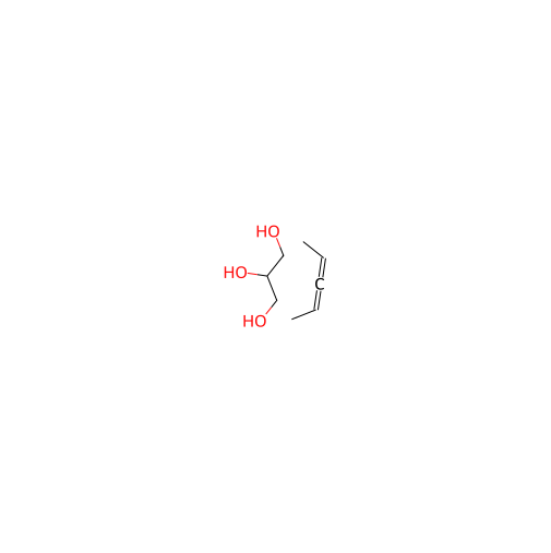 CC=C=CC.OCC(O)CO